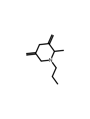 C=C1CC(=C)C(C)N(CCC)C1